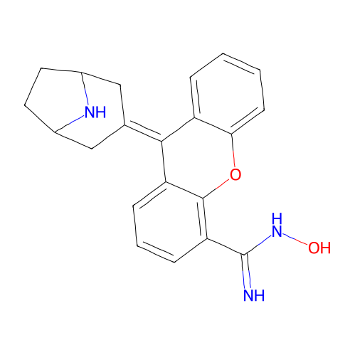 N=C(NO)c1cccc2c1Oc1ccccc1C2=C1CC2CCC(C1)N2